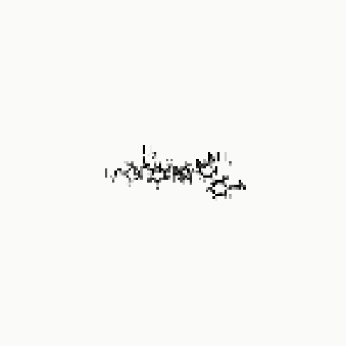 C[C@H]1CCN([C@H](C)c2cccc(Cn3cc(-c4cc(-c5cccc(C#N)c5)nc(N)n4)nn3)n2)C1